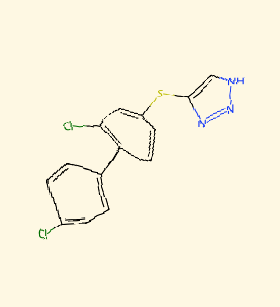 Clc1ccc(-c2ccc(Sc3c[nH]nn3)cc2Cl)cc1